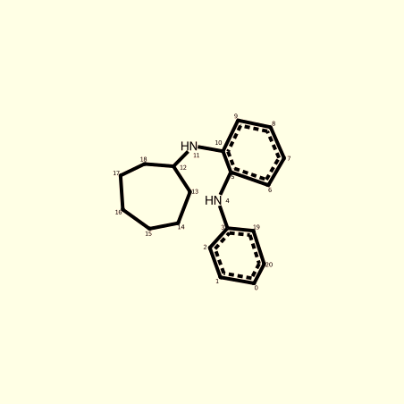 c1ccc(Nc2ccccc2NC2CCCCCC2)cc1